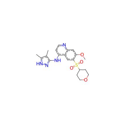 COc1cc2nccc(Nc3n[nH]c(C)c3C)c2cc1S(=O)(=O)C1CCOCC1